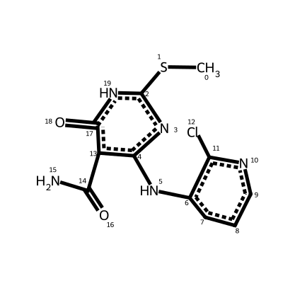 CSc1nc(Nc2cccnc2Cl)c(C(N)=O)c(=O)[nH]1